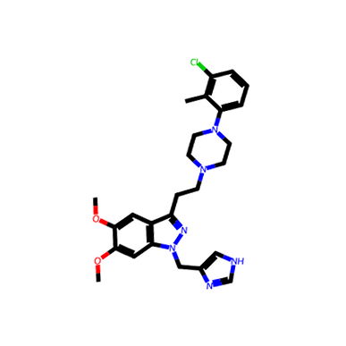 COc1cc2c(CCN3CCN(c4cccc(Cl)c4C)CC3)nn(Cc3c[nH]cn3)c2cc1OC